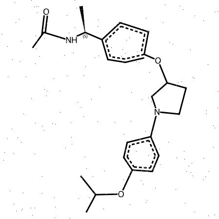 CC(=O)N[C@@H](C)c1ccc(OC2CCN(c3ccc(OC(C)C)cc3)C2)cc1